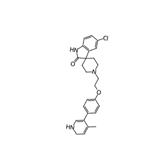 CC1=CCNC=C1c1ccc(OCCN2CCC3(CC2)C(=O)Nc2ccc(Cl)cc23)cc1